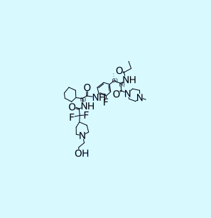 CCC(=O)N[C@@H](C(=O)N1CCN(C)CC1)[C@@H](C)c1ccc(NC(=O)[C@@H](NC(=O)C(F)(F)C2CCN(CCO)CC2)C2CCCCC2)c(F)c1